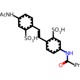 CC(=O)Nc1ccc(C=Cc2ccc(NC(=O)C(C)C)cc2S(=O)(=O)O)c(S(=O)(=O)O)c1